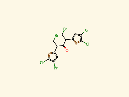 O=C(C(CBr)c1cc(Br)c(Cl)s1)C(CBr)c1cc(Br)c(Cl)s1